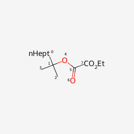 CCCCCCCC(C)(C)OC(=O)C(=O)OCC